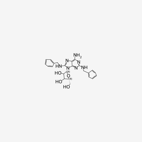 Nc1nc(NCc2ccccc2)nc2c1nc(NCc1ccccc1)n2[C@@H]1O[C@H](CO)C(O)C1O